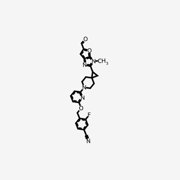 Cn1c(C2CC23CCN(c2cccc(OCc4ccc(C#N)cc4F)n2)CC3)nc2cc(C=O)oc21